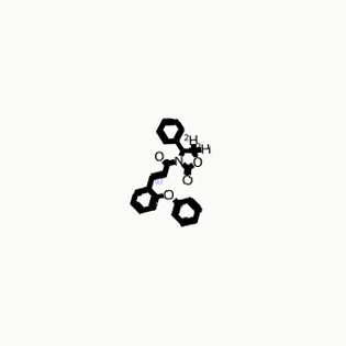 [2H]C1([2H])OC(=O)N(C(=O)/C=C/c2ccccc2Oc2ccccc2)C1c1ccccc1